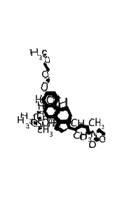 CC[C@H]1[C@@H](O[Si](C)(C)C)C2[C@@H]3CC[C@H]([C@H](C)C[C@H](C)C(=O)N4CCOC4=O)C3(C)CC[C@@H]2C2(C)CC[C@@H](OCOCCOC)C[C@@H]12